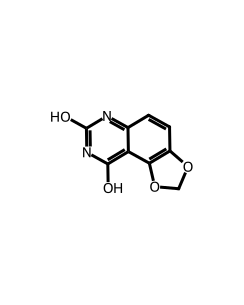 Oc1nc(O)c2c3c(ccc2n1)OCO3